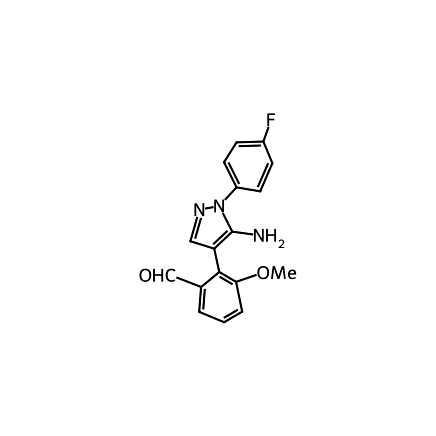 COc1cccc(C=O)c1-c1cnn(-c2ccc(F)cc2)c1N